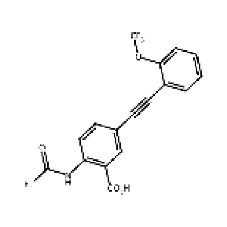 CCC(=O)Nc1ccc(C#Cc2ccccc2OC(F)(F)F)cc1C(=O)O